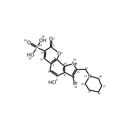 Cl.O=c1oc2c(ccc3c(Br)c(CN4CCCCC4)[se]c32)cc1P(=O)(O)O